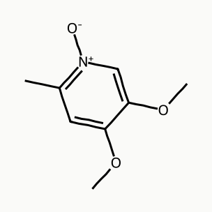 COc1cc(C)[n+]([O-])cc1OC